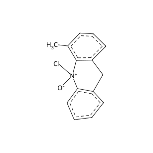 Cc1cccc2c1[N+]([O-])(Cl)c1ccccc1C2